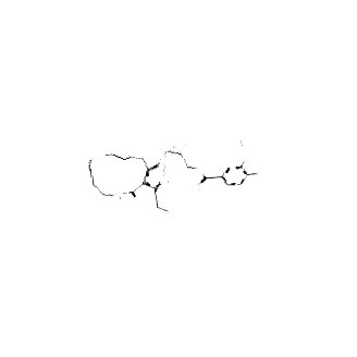 CCc1nn(C[C@@H](C)COC(=O)c2ccc(F)c(OC)c2)c2c1C(=O)NCCCOCCC2